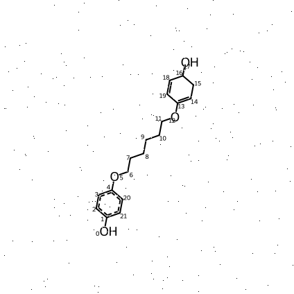 Oc1ccc(OCCCCCCOC2=CCC(O)C=C2)cc1